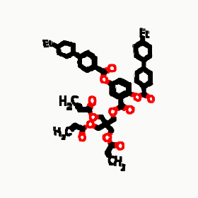 C=CC(=O)OCC(COC(=O)C=C)(COC(=O)C=C)COC(=O)c1cc(OC(=O)C2CCC(C3CCC(CC)CC3)CC2)ccc1OC(=O)C1CCC(C2CCC(CC)CC2)CC1